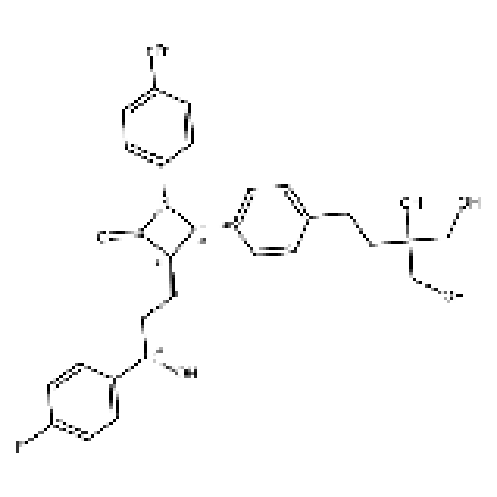 CCCc1ccc(N2C(=O)[C@H](CC[C@H](O)c3ccc(F)cc3)[C@H]2c2ccc(CCC(O)(CO)CO)cc2)cc1